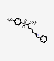 Cc1ccc(S(=O)(=O)C(CCC/C=C/c2ccccc2)C(=O)O)cc1